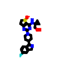 [O-][S+]1CCc2nc(N3CCC(C4=NCc5cc(F)ccc54)CC3)nc(NC3(CO)CC3)c21